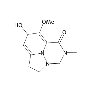 COC1=C2C(=O)N(C)CN3CCC(=CC1O)N23